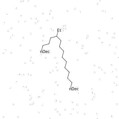 [CH2]CC(CCCCCCCCCCCCC)CCCCCCCCCCCCCCCCCCC